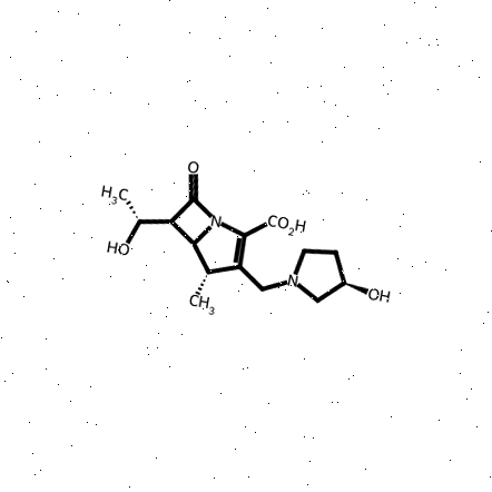 C[C@@H](O)C1C(=O)N2C(C(=O)O)=C(CN3CC[C@@H](O)C3)[C@H](C)C12